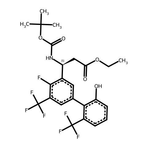 CCOC(=O)C[C@H](NC(=O)OC(C)(C)C)c1cc(-c2c(O)cccc2C(F)(F)F)cc(C(F)(F)F)c1F